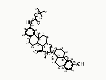 CN(C(=O)C1CCCC2(C)c3cc(NC(=O)OC(C)(C)C)ccc3CCC12)C(=O)[C@@]1(C)CCCC2(C)c3cc(O)ccc3CCC21